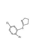 CC(=O)c1ccc(Cl)cc1SC1=NCCC1